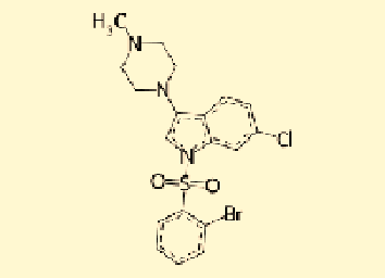 CN1CCN(c2cn(S(=O)(=O)c3ccccc3Br)c3cc(Cl)ccc23)CC1